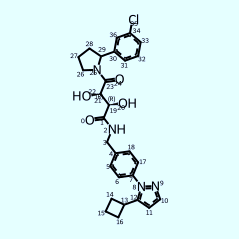 O=C(NCc1ccc(-n2nccc2C2CCC2)cc1)[C@H](O)[C@@H](O)C(=O)N1CCCC1c1cccc(Cl)c1